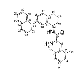 Cc1cc(C)c(CC(N)C(=O)NC2CCCc3ccc(-c4cccc5ccccc45)cc32)c(C)c1